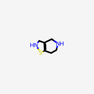 C1CC2=C(CN1)CNS2